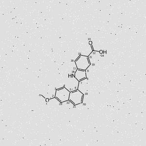 COc1ccc2c(-c3cc4cc(C(=O)O)ccc4[nH]3)cccc2c1